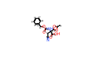 CC1OC(C(CC#N)(NC(=O)OCc2ccccc2)C(=O)O)O1